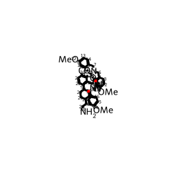 COc1ccc(CN(Cc2ccc(OC)cc2)S(=O)(=O)c2c(C(F)(F)F)ccc(C3CCC(CCN)CC3)c2-c2nnnn2Cc2ccc(OC)cc2)cc1